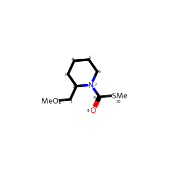 COCC1CCCCN1C(=O)SC